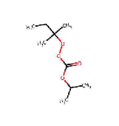 CCC(C)(C)OOC(=O)OC(C)C